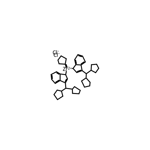 C1=C(C(C2CCCC2)C2CCCC2)c2ccccc2[CH]1[Zr+2](=[C]1CCCC1)[CH]1C=C(C(C2CCCC2)C2CCCC2)c2ccccc21.[Cl-].[Cl-]